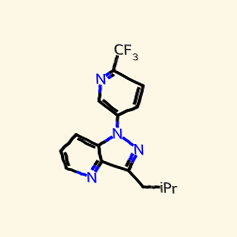 CC(C)Cc1nn(-c2ccc(C(F)(F)F)nc2)c2cccnc12